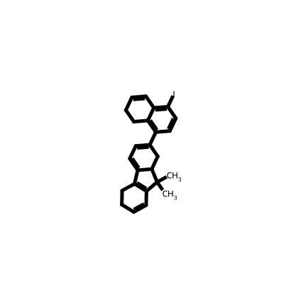 CC1(C)C2=C(CCC=C2)C2=CC=C(c3ccc(I)c4c3CCC=C4)CC21